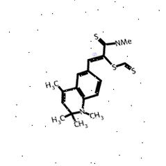 CNC(=S)/C(=C/c1ccc2c(c1)C(C)=CC(C)(C)N2C)SC=S